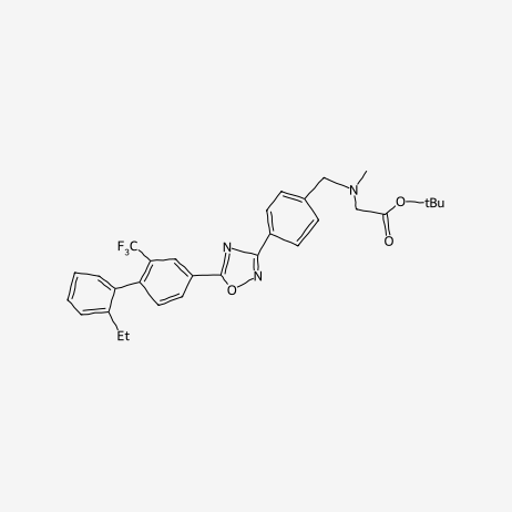 CCc1ccccc1-c1ccc(-c2nc(-c3ccc(CN(C)CC(=O)OC(C)(C)C)cc3)no2)cc1C(F)(F)F